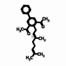 CC(=O)c1cc(-c2ccccc2)cc(C(C)=O)c1C/C=C(\C)CCC=C(C)C